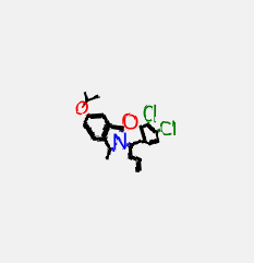 C=CCC(c1ccc(Cl)c(Cl)c1)N1C(=O)c2cc(OC(C)C)ccc2C1C